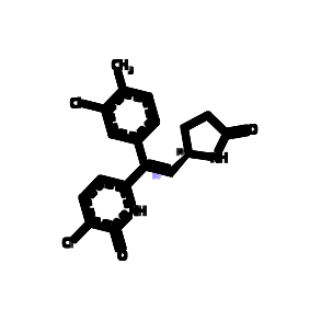 Cc1ccc(/C(=C\[C@H]2CCC(=O)N2)c2ccc(Cl)c(=O)[nH]2)cc1Cl